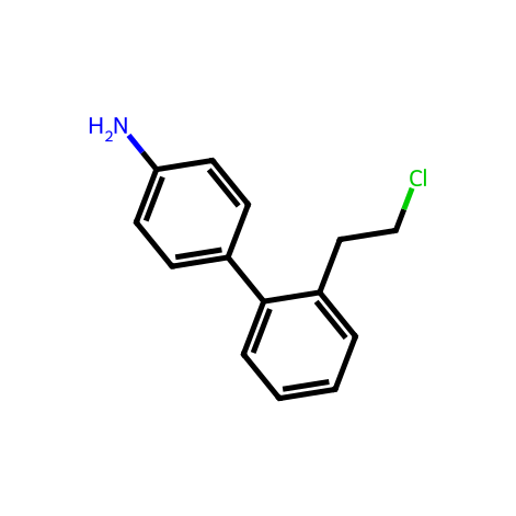 Nc1ccc(-c2ccccc2CCCl)cc1